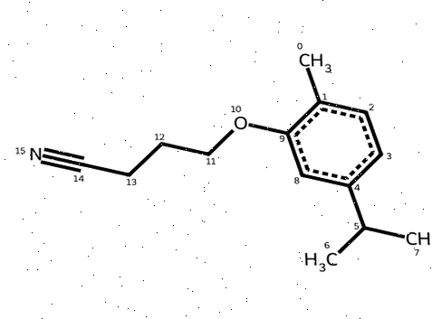 Cc1ccc(C(C)C)cc1OCCCC#N